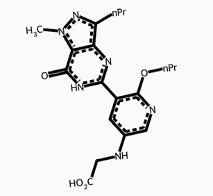 CCCOc1ncc(NCC(=O)O)cc1-c1nc2c(CCC)nn(C)c2c(=O)[nH]1